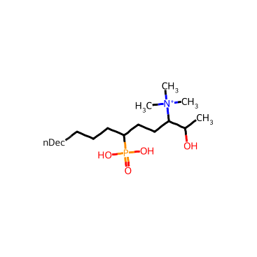 CCCCCCCCCCCCCC(CCC(C(C)O)[N+](C)(C)C)P(=O)(O)O